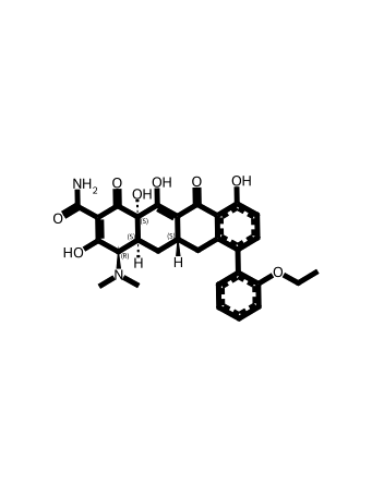 CCOc1ccccc1-c1ccc(O)c2c1C[C@@H]1C[C@H]3[C@@H](N(C)C)C(O)=C(C(N)=O)C(=O)[C@@]3(O)C(O)=C1C2=O